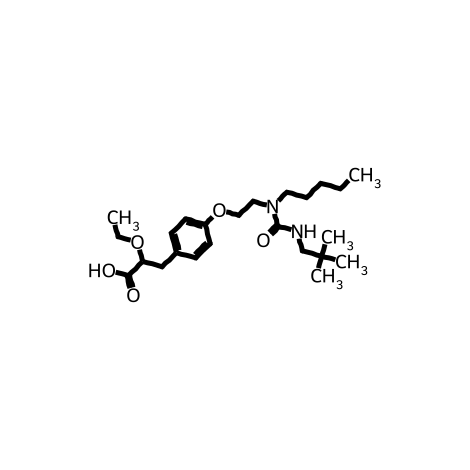 CCCCCN(CCOc1ccc(CC(OCC)C(=O)O)cc1)C(=O)NCC(C)(C)C